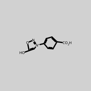 O=C(O)c1ccc(-[n+]2cc(O)on2)cc1